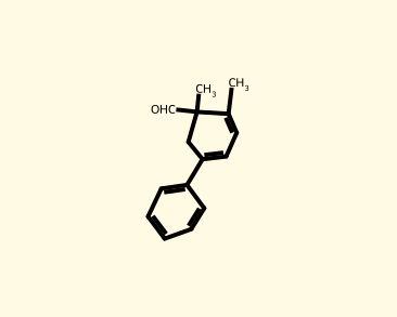 CC1=CC=C(c2ccccc2)CC1(C)C=O